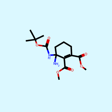 COC(=O)C1=C(C(=O)OC)C(N)(NC(=O)OC(C)(C)C)CCC1